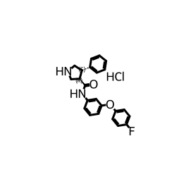 Cl.O=C(Nc1cccc(Oc2ccc(F)cc2)c1)[C@H]1CNC[C@@H]1c1ccccc1